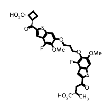 COc1cc2sc(C(=O)C[C@H](C)C(=O)O)cc2c(F)c1OCCCOc1cc2sc(C(=O)[C@@H]3CC[C@H]3C(=O)O)cc2c(F)c1OC